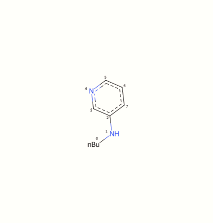 CCCCNc1[c]nccc1